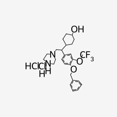 Cl.Cl.OC1CCC(C(CN2CCNCC2)c2ccc(OCc3ccccc3)c(OC(F)(F)F)c2)CC1